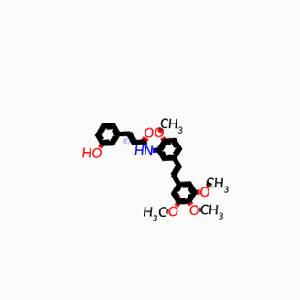 COc1ccc(C=Cc2cc(OC)c(OC)c(OC)c2)cc1NC(=O)/C=C/c1cccc(O)c1